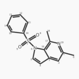 Cc1cc2ccn(S(=O)(=O)c3ccccc3)c2c(C)n1